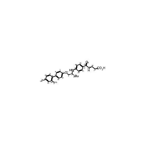 CC[C@H](C)[C@@H](COc1ccc(-c2ccc(F)cc2F)cc1)Nc1ccc(C(=O)NCCC(=O)O)cc1